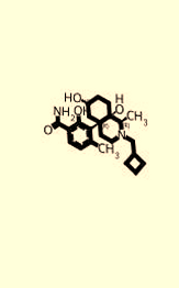 Cc1ccc(C(N)=O)c(O)c1[C@]12CCN(CC3CCC3)[C@H](C)[C@]1(O)CC[C@H](O)C2